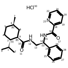 CC(C)[C@@H]1CC[C@@H](C)C[C@H]1C(=O)NC[C@@H](NC(=O)c1ccccn1)c1ccccc1.Cl